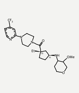 CC[C@]1(C(=O)N2CCN(c3cc(C(F)(F)F)ccn3)CC2)CC[C@H](NC2CCOCC2OC)C1